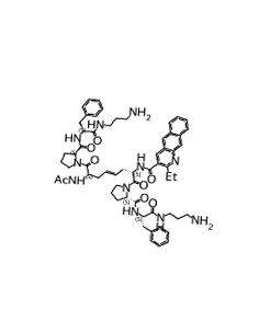 CCc1nc2cc3ccccc3cc2cc1C(=O)N[C@@H](CC=CC[C@H](NC(C)=O)C(=O)N1CCC[C@H]1C(=O)N[C@@H](Cc1ccccc1)C(=O)NCCCN)C(=O)N1CCC[C@H]1C(=O)N[C@@H](Cc1ccccc1)C(=O)NCCCN